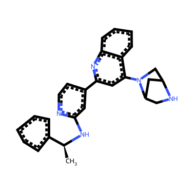 C[C@H](Nc1cc(-c2cc(N3CC4CC3CN4)c3ccccc3n2)ccn1)c1ccccc1